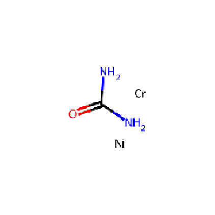 NC(N)=O.[Cr].[Ni]